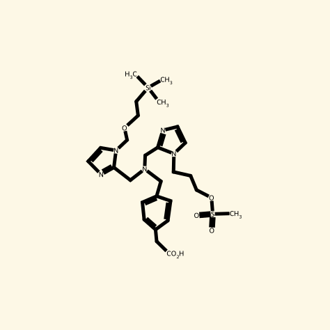 C[Si](C)(C)CCOCn1ccnc1CN(Cc1ccc(CC(=O)O)cc1)Cc1nccn1CCCOS(C)(=O)=O